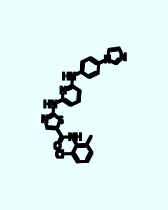 Cc1cccc(Cl)c1NC(=O)c1cnc(Nc2cccc(Nc3ccc(-n4ccnc4)cc3)n2)s1